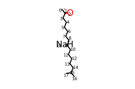 [CH2]C(=O)CCCCCCCCCCCCC(C)C.[NaH]